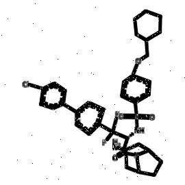 NC1CC2CCC(C1)N2C(=O)[C@@H](NS(=O)(=O)c1ccc(OCC2CCCCC2)cc1)C(F)(F)c1ccc(-c2ccc(Cl)cc2)cc1